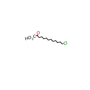 O=C(O)C(=O)CCCCCCCCCCCCl